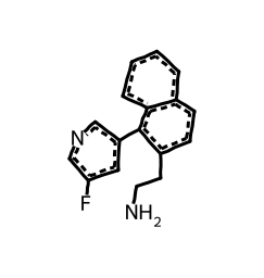 NCCc1ccc2ccccc2c1-c1cncc(F)c1